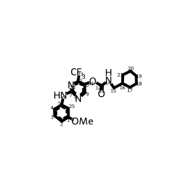 COc1cccc(Nc2ncc(OC(=O)NCC3CCCCC3)c(C(F)(F)F)n2)c1